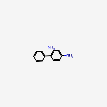 N.Nc1ccc(-c2ccccc2)cc1